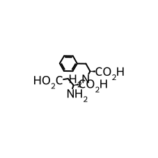 N[C@@H](CC(=O)O)C(=O)O.N[C@@H](Cc1ccccc1)C(=O)O